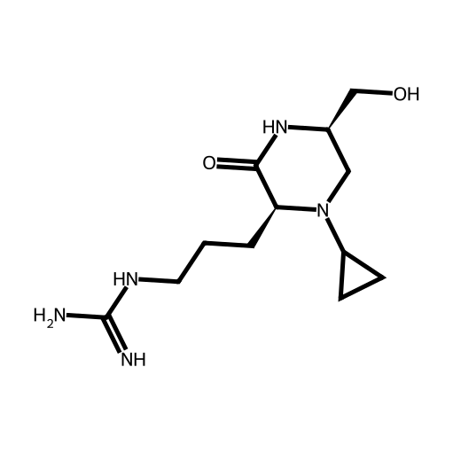 N=C(N)NCCC[C@H]1C(=O)N[C@@H](CO)CN1C1CC1